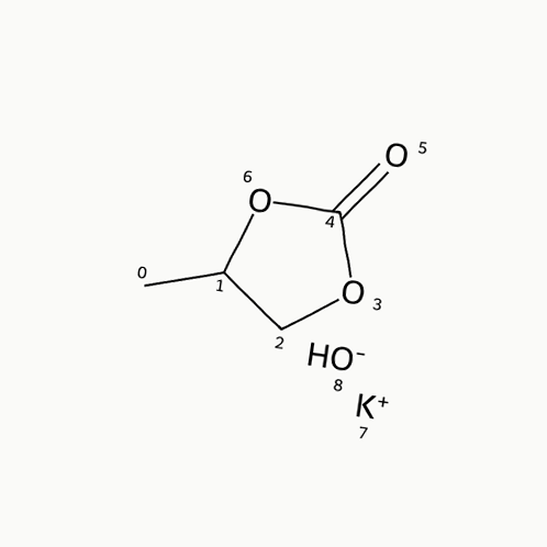 CC1COC(=O)O1.[K+].[OH-]